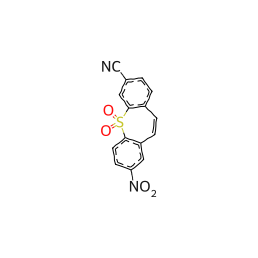 N#Cc1ccc2c(c1)S(=O)(=O)c1ccc([N+](=O)[O-])cc1C=C2